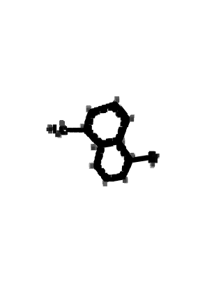 [CH2]c1cccc2c(Br)cccc12